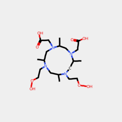 CC1CN(CCOO)C(C)CN(CC(=O)O)C(C)CN(CC(=O)O)C(C)CN1CCOO